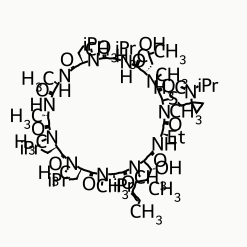 C/C=C/C[C@@H](C)[C@@H](O)C1C(=O)N[C@H](CC)C(=O)N(C)C(SCC2(N(C)C(C)C)CC2)C(=O)N(C)[C@@H](CC(C)(C)O)C(=O)N[C@H](C(C)C)C(=O)N(C)[C@H](CC(C)C)C(=O)N[C@H](C)C(=O)N[C@@H](C)C(=O)N(C)[C@H](CC(C)C)C(=O)N(C)[C@H](CC(C)C)C(=O)N(C)[C@H](C(C)C)C(=O)N1C